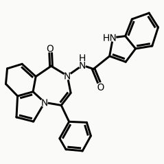 O=C(NN1C=C(c2ccccc2)n2ccc3c2C(=CCC3)C1=O)c1cc2ccccc2[nH]1